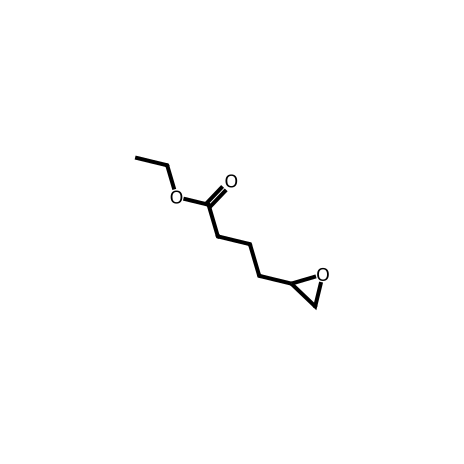 CCOC(=O)CCCC1CO1